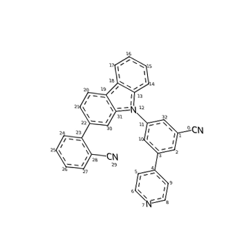 N#Cc1cc(-c2ccncc2)cc(-n2c3ccccc3c3ccc(-c4ccccc4C#N)cc32)c1